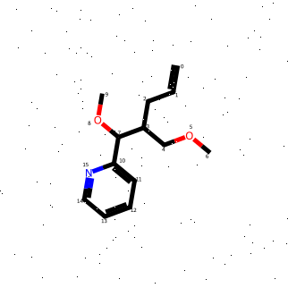 C=CCC(COC)C(OC)c1ccccn1